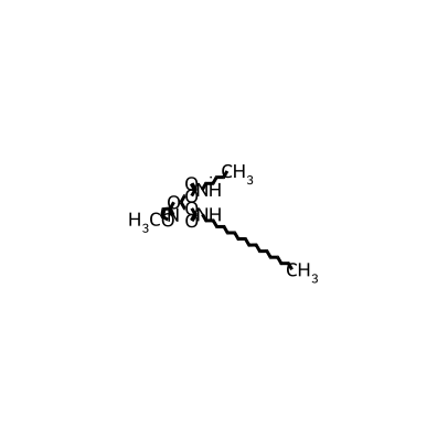 CC[CH]CCNC(=O)OCC(COC(=O)NCCCCCCCCCCCCCCCCC)Oc1cc(C)on1